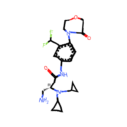 NC[C@H](C(=O)Nc1ccc(N2CCOCC2=O)c(C(F)F)c1)N(C1CC1)C1CC1